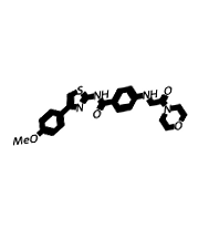 COc1ccc(-c2csc(NC(=O)c3ccc(NCC(=O)N4CCOCC4)cc3)n2)cc1